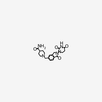 NC(=O)C1CCN(Cc2ccc3c(c2)CN(N2CCC(=O)NC2=O)C3=O)CC1